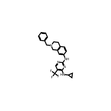 FC(F)(F)c1cnc(Nc2ccc3c(c2)CN(Cc2ccccc2)CC3)nc1NC1CC1